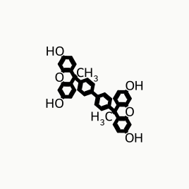 CC1(c2ccc(-c3ccc(C4(C)c5ccc(O)cc5Oc5cc(O)ccc54)cc3)cc2)c2ccc(O)cc2Oc2cc(O)ccc21